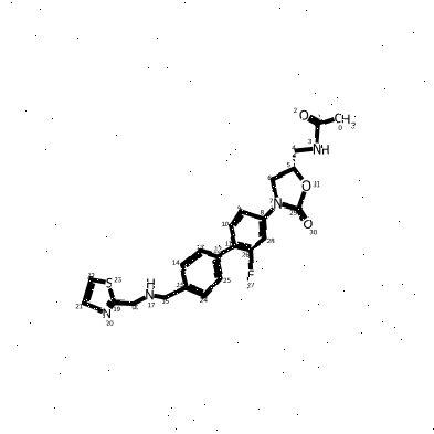 CC(=O)NC[C@H]1CN(c2ccc(-c3ccc(CNCc4nccs4)cc3)c(F)c2)C(=O)O1